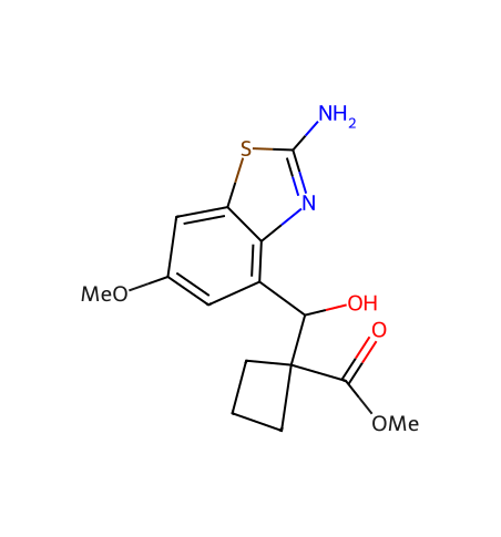 COC(=O)C1(C(O)c2cc(OC)cc3sc(N)nc23)CCC1